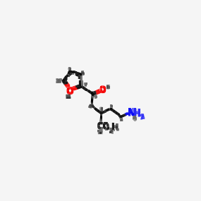 NCCC(CC(=O)c1ccco1)C(=O)O